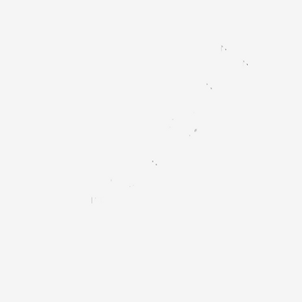 CC(C)(C)OC(=O)N1C[C@@H]2C(n3cnnc3)[C@@H]2C1